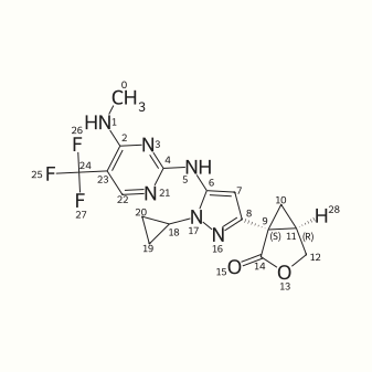 CNc1nc(Nc2cc([C@]34C[C@H]3COC4=O)nn2C2CC2)ncc1C(F)(F)F